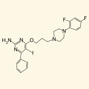 Nc1nc(OCCCN2CCN(c3ccc(F)cc3F)CC2)c(I)c(-c2ccccc2)n1